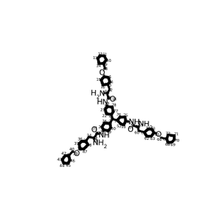 N[C@@H](Cc1ccc(OCc2ccccc2)cc1)C(=O)Nc1ccc(C(c2ccc(NC(=O)[C@@H](N)Cc3ccc(OCc4ccccc4)cc3)cc2)c2ccc(NC(=O)[C@@H](N)Cc3ccc(OCc4ccccc4)cc3)cc2)cc1